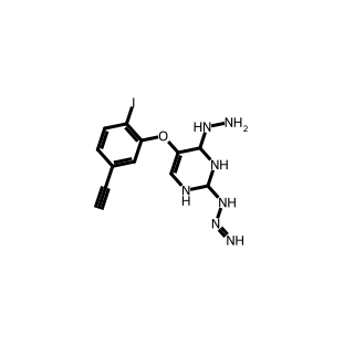 C#Cc1ccc(I)c(OC2=CNC(NN=N)NC2NN)c1